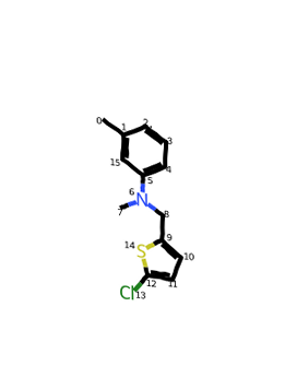 Cc1[c]ccc(N(C)Cc2ccc(Cl)s2)c1